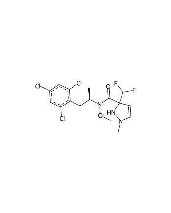 CON(C(=O)C1(C(F)F)C=CN(C)N1)[C@H](C)Cc1c(Cl)cc(Cl)cc1Cl